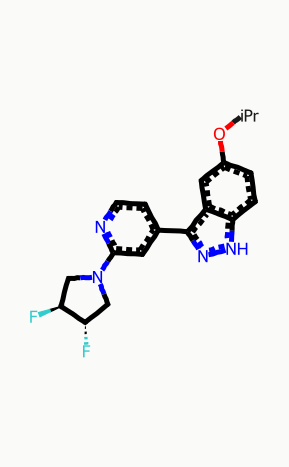 CC(C)Oc1ccc2[nH]nc(-c3ccnc(N4C[C@H](F)[C@@H](F)C4)c3)c2c1